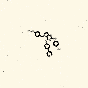 COc1ccc(Cn2ccc3nc(Nc4ccc(C#N)cc4)nc(Oc4ccc(-c5ccncc5)cc4)c32)cc1